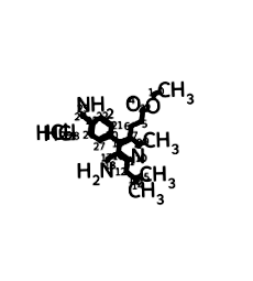 CCOC(=O)CCc1c(C)nc(CC(C)C)c(CN)c1-c1ccc(CN)cc1.Cl.Cl